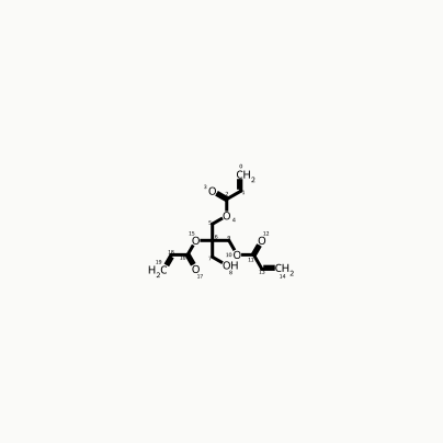 C=CC(=O)OCC(CO)(COC(=O)C=C)OC(=O)C=C